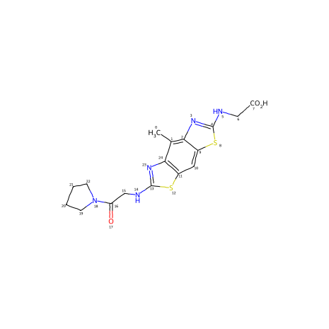 Cc1c2nc(NCC(=O)O)sc2cc2sc(NCC(=O)N3CCCC3)nc12